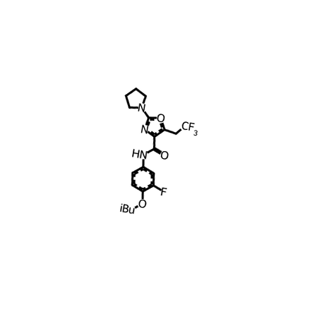 CCC(C)Oc1ccc(NC(=O)c2nc(N3CCCC3)oc2CC(F)(F)F)cc1F